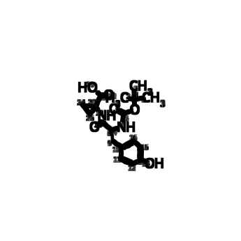 CC(C)(C)OC(=O)N[C@@H](Cc1ccc(O)cc1)C(=O)NC1(C(=O)O)CC1